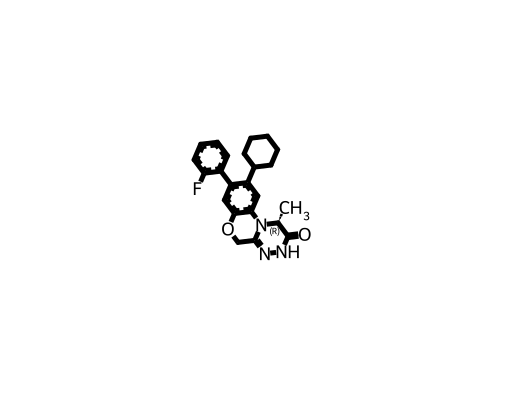 C[C@@H]1C(=O)NN=C2COc3cc(-c4ccccc4F)c(C4CCCCC4)cc3N21